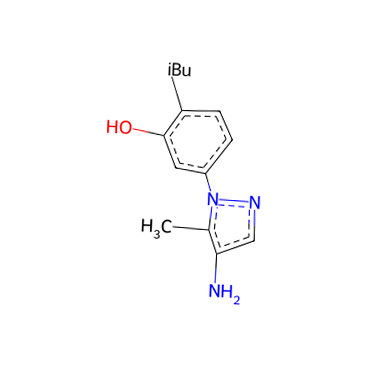 CCC(C)c1ccc(-n2ncc(N)c2C)cc1O